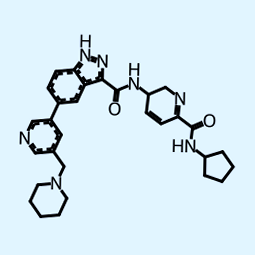 O=C(NC1CCCC1)C1=NCC(NC(=O)c2n[nH]c3ccc(-c4cncc(CN5CCCCC5)c4)cc23)C=C1